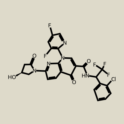 O=C(NC(c1ccccc1Cl)C(F)(F)F)c1cn(-c2ncc(F)cc2F)c2nc(N3C[C@@H](O)CC3=O)ccc2c1=O